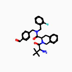 CC(C)(C)C(N)C(=O)N1Cc2ccccc2CC1C(=O)N(Cc1ccc(C=O)cc1)Cc1ccccc1F